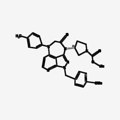 COc1ccc(Cn2nc3c4c(ccnc42)N(c2ccc(C)cc2)CC(=O)N3[C@@H]2CCN(C(=O)OC(C)(C)C)C2)cc1